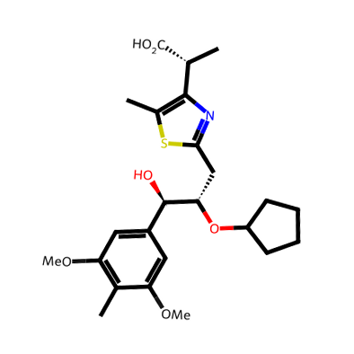 COc1cc([C@@H](O)[C@H](Cc2nc([C@@H](C)C(=O)O)c(C)s2)OC2CCCC2)cc(OC)c1C